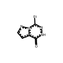 CCc1n[nH]c(=O)c2ccnn12